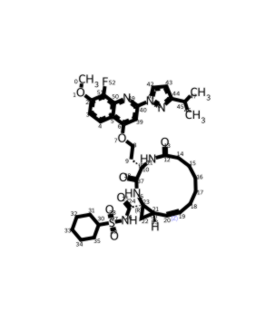 COc1ccc2c(OCC[C@@H]3NC(=O)CCCCC/C=C\[C@@H]4C[C@@]4(C(=O)NS(=O)(=O)C4CCCCC4)NC3=O)cc(-n3ccc(C(C)C)n3)nc2c1F